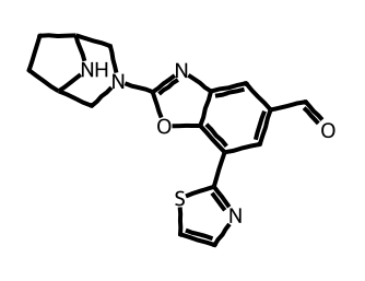 O=Cc1cc(-c2nccs2)c2oc(N3CC4CCC(C3)N4)nc2c1